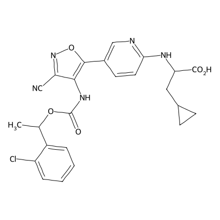 CC(OC(=O)Nc1c(C#N)noc1-c1ccc(NC(CC2CC2)C(=O)O)nc1)c1ccccc1Cl